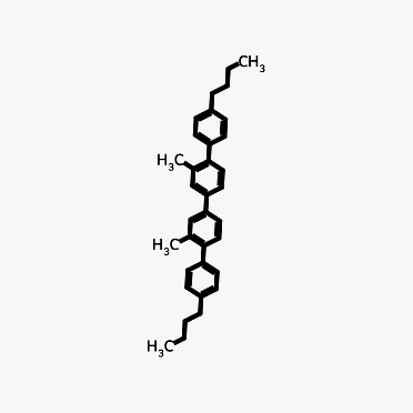 CCCCc1ccc(-c2ccc(-c3ccc(-c4ccc(CCCC)cc4)c(C)c3)cc2C)cc1